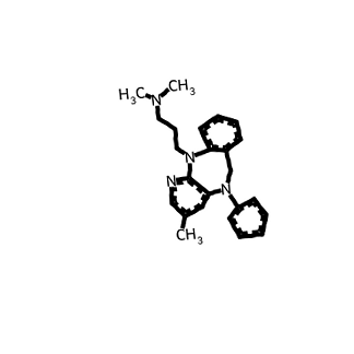 Cc1cnc2c(c1)N(c1ccccc1)Cc1ccccc1N2CCCN(C)C